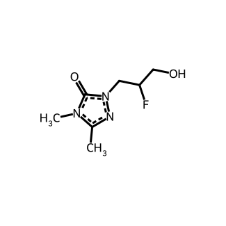 Cc1nn(CC(F)CO)c(=O)n1C